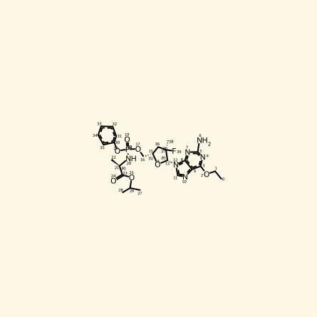 CCOc1nc(N)nc2c1ncn2[C@@H]1O[C@H](CO[P@@](=O)(N[C@H](C)C(=O)OC(C)C)Oc2ccccc2)C[C@@]1(C)F